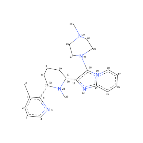 Cc1cccnc1[C@@H]1CCC[C@H](c2nc3ccccn3c2N2CCN(C)CC2)N1C